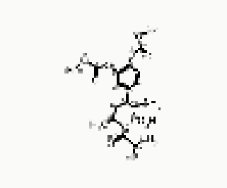 CC(C)OC(=O)Oc1ccc(C(CC(C)OC(=O)C(C)C(C)C)[C@H](N)C(=O)O)cc1OC(=O)OC(C)C